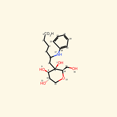 O=C(O)CCCC(C[C@@]1(O)[C@H](O)[C@@H](O)CO[C@@H]1CO)Nc1ccccc1